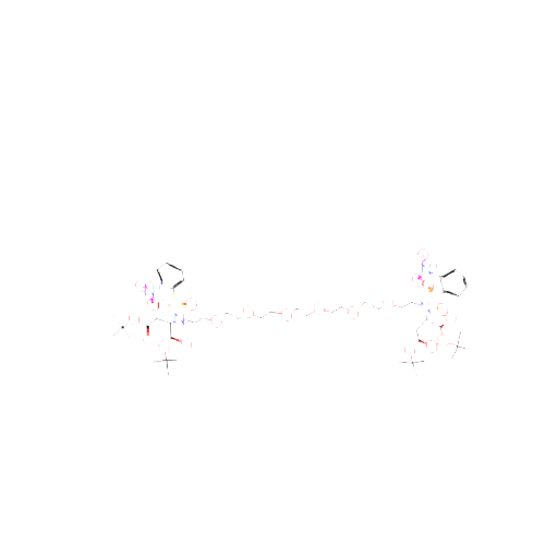 CC(C)(C)OC(=O)CC(C(=O)OC(C)(C)C)N(CCOCCOCCOCCOCCOCCOCCN(C(CC(=O)OC(C)(C)C)C(=O)OC(C)(C)C)S(=O)(=O)c1ccccc1[N+](=O)[O-])S(=O)(=O)c1ccccc1[N+](=O)[O-]